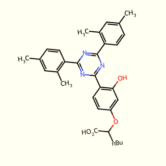 CCCCC(Oc1ccc(-c2nc(-c3ccc(C)cc3C)nc(-c3ccc(C)cc3C)n2)c(O)c1)C(=O)O